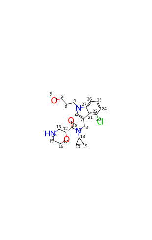 COCCCn1cc(CN(C(=O)[C@H]2CNCCO2)C2CC2)c2c(Cl)cccc21